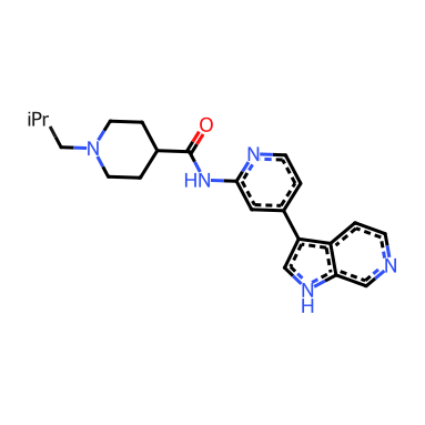 CC(C)CN1CCC(C(=O)Nc2cc(-c3c[nH]c4cnccc34)ccn2)CC1